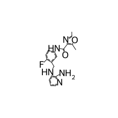 Cc1nc(C(=O)Nc2ccc(F)c(CNc3cccnc3N)c2)c(C)o1